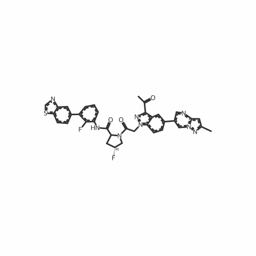 CC(=O)c1nn(CC(=O)N2C[C@H](F)CC2C(=O)Nc2cccc(-c3ccc4scnc4c3)c2F)c2ccc(-c3cnc4cc(C)nn4c3)cc12